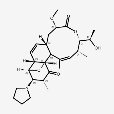 CO[C@H]1C[C@H]2C=C[C@H]3[C@H]4O[C@]2(C(C)=C[C@@H](C)[C@@H]([C@@H](C)O)OC1=O)[C@@H]3C(=O)[C@H](C)[C@H]4N1CCCC1